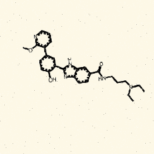 CCN(CC)CCCNC(=O)c1ccc2nc(-c3cc(-c4cccnc4OC)ccc3O)[nH]c2c1